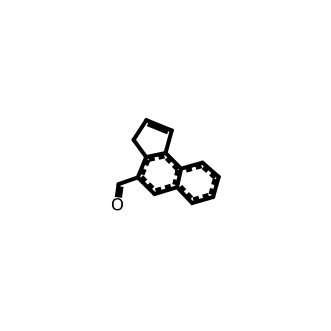 O=Cc1cc2ccccc2c2c1CC=C2